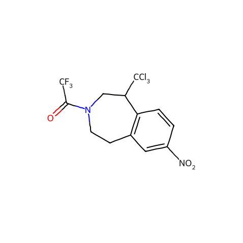 O=C(N1CCc2cc([N+](=O)[O-])ccc2C(C(Cl)(Cl)Cl)C1)C(F)(F)F